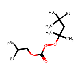 CCCCC(CC)COC(=O)OOC(C)(C)CC(C)(C)CC